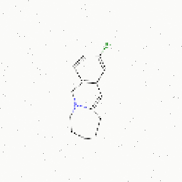 Brc1ccc2c(c1)C=C1CCCCCN1C2